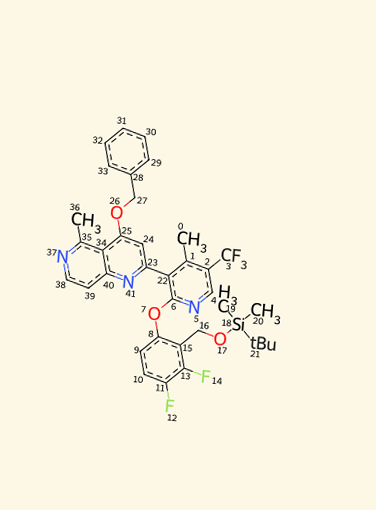 Cc1c(C(F)(F)F)cnc(Oc2ccc(F)c(F)c2CO[Si](C)(C)C(C)(C)C)c1-c1cc(OCc2ccccc2)c2c(C)nccc2n1